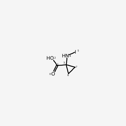 O=C(O)C1(NI)CC1